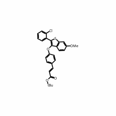 COc1ccc2c(Oc3ccc(/C=C/C(=O)OC(C)(C)C)cc3)c(-c3ccccc3Cl)sc2c1